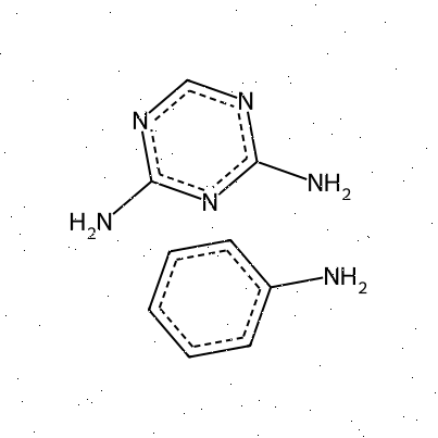 Nc1ccccc1.Nc1ncnc(N)n1